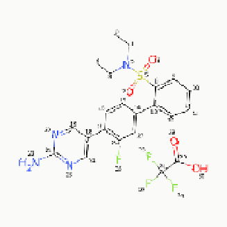 CCN(CC)S(=O)(=O)c1ccccc1-c1ccc(-c2cnc(N)nc2)c(F)c1.O=C(O)C(F)(F)F